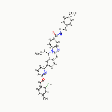 COCCn1c(Cc2ccc(-c3cccc(OCc4ccc(C#N)cc4F)n3)cc2)nc2cc(C(=O)NCCc3ccc(C(=O)O)cc3)ccc21